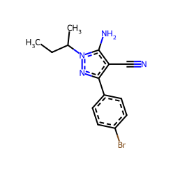 CCC(C)n1nc(-c2ccc(Br)cc2)c(C#N)c1N